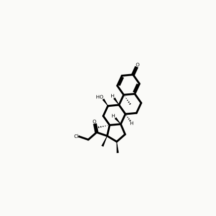 C[C@@H]1C[C@H]2[C@@H]3CCC4=CC(=O)C=C[C@]4(C)[C@H]3[C@H](O)C[C@]2(C)[C@@]1(C)C(=O)CCl